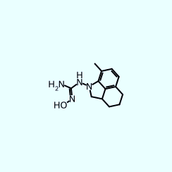 Cc1ccc2c3c1N(NC(N)=NO)CC3CCC2